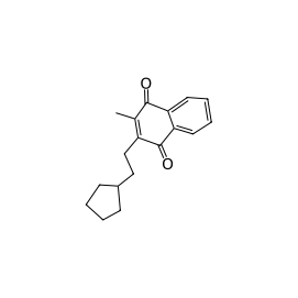 CC1=C(CCC2CCCC2)C(=O)c2ccccc2C1=O